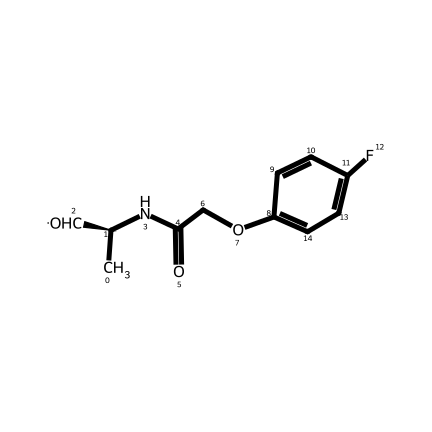 C[C@@H]([C]=O)NC(=O)COc1ccc(F)cc1